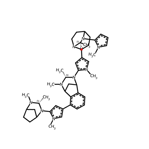 C[C@H]1N(C)C2CCC(C2)N1c1cc(-c2cccc3c2C2CC3N(c3cc(C4CCC5CCN4[C@H](C)N5c4cccn4C)cn3C)[C@@H](C)N2C)cn1C